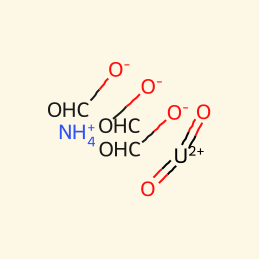 O=C[O-].O=C[O-].O=C[O-].[NH4+].[O]=[U+2]=[O]